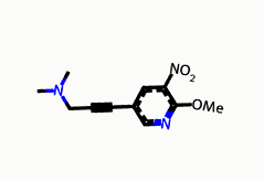 COc1ncc(C#CCN(C)C)cc1[N+](=O)[O-]